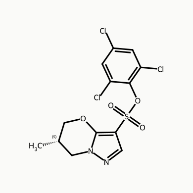 C[C@@H]1COc2c(S(=O)(=O)Oc3c(Cl)cc(Cl)cc3Cl)cnn2C1